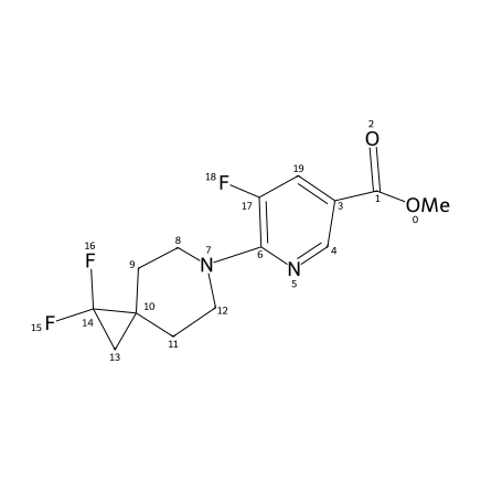 COC(=O)c1cnc(N2CCC3(CC2)CC3(F)F)c(F)c1